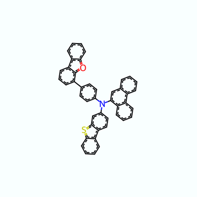 c1ccc2c(c1)cc(N(c1ccc(-c3cccc4c3oc3ccccc34)cc1)c1ccc3c(c1)sc1ccccc13)c1ccccc12